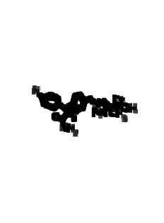 CCC(O)(c1cn(Cc2ccc3c(-c4ccc(F)cc4)c(C(N)=O)sc3c2)nn1)C(F)(F)F